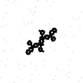 Cc1cccc(-c2cc3cc4c(cc(-c5cccc(C)c5)n4-c4ccc(N(c5ccccc5)c5ccc6ccccc6c5)cc4)cc3n2-c2ccc(N(c3ccccc3)c3ccc4ccccc4c3)cc2)c1